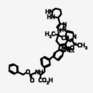 CCn1c(-c2cccnc2[C@H](C)OC)c(CC(C)(C)n2cc(C3CCCNN3)nn2)c2cc(-c3cccc(CC(NC(=O)OCc4ccccc4)C(=O)O)c3)ccc21